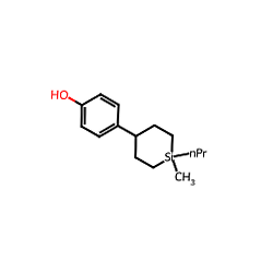 CCC[Si]1(C)CCC(c2ccc(O)cc2)CC1